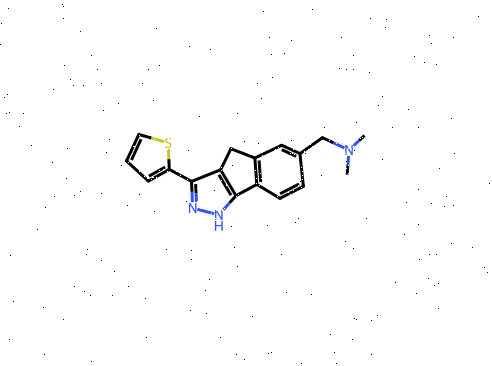 CN(C)Cc1ccc2c(c1)Cc1c(-c3cccs3)n[nH]c1-2